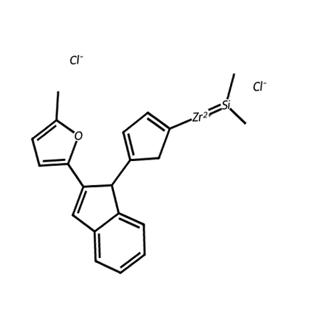 Cc1ccc(C2=Cc3ccccc3C2C2=CC=[C]([Zr+2]=[Si](C)C)C2)o1.[Cl-].[Cl-]